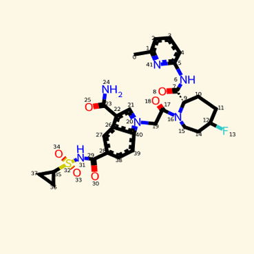 Cc1cccc(NC(=O)[C@@H]2CCC(F)CCN2C(=O)Cn2cc(C(N)=O)c3cc(C(=O)NS(=O)(=O)C4CC4)ccc32)n1